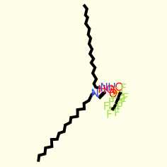 CCCCCCCCCCCCCCCCCC[n+]1cc[nH]c1CCCCCCCCCCCCCCCCC.O=S(=O)(O)C(F)(F)C(F)(F)C(F)(F)C(F)(F)F